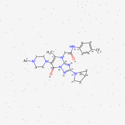 CC(=O)N1CCN(c2c(C)n(CC(=O)Nc3ccc(C(F)(F)F)cc3)c3nc(N4CCC5CC54)nn3c2=O)CC1